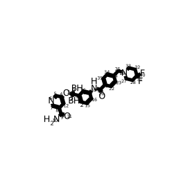 BC(B)(Oc1cncc(C(N)=O)c1)c1cccc(NC(=O)c2ccc(CN3CCC(F)(F)CC3)cc2)c1